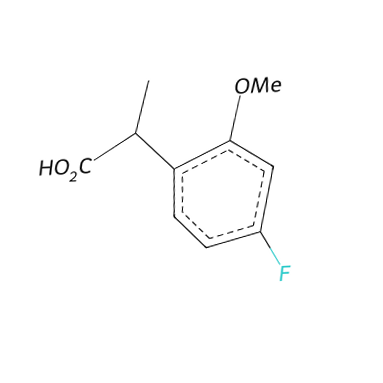 COc1cc(F)ccc1C(C)C(=O)O